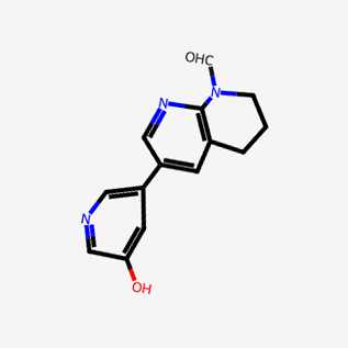 O=CN1CCCc2cc(-c3cncc(O)c3)cnc21